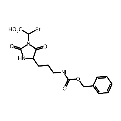 CCC(C(=O)O)N1C(=O)NC(CCCNC(=O)OCc2ccccc2)C1=O